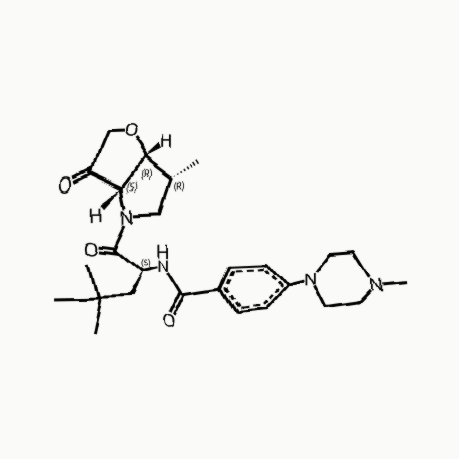 C[C@@H]1CN(C(=O)[C@H](CC(C)(C)C)NC(=O)c2ccc(N3CCN(C)CC3)cc2)[C@@H]2C(=O)CO[C@H]12